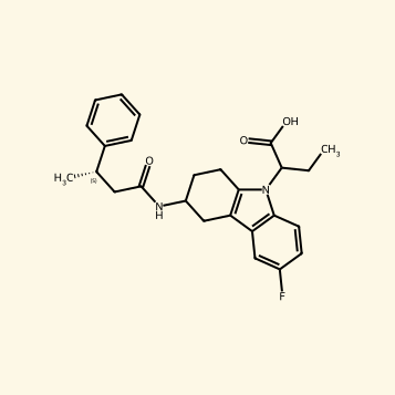 CCC(C(=O)O)n1c2c(c3cc(F)ccc31)CC(NC(=O)C[C@H](C)c1ccccc1)CC2